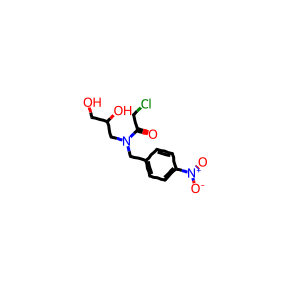 O=C(CCl)N(Cc1ccc([N+](=O)[O-])cc1)CC(O)CO